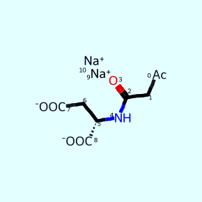 CC(=O)CC(=O)N[C@@H](CC(=O)[O-])C(=O)[O-].[Na+].[Na+]